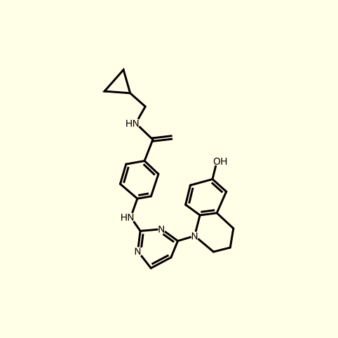 C=C(NCC1CC1)c1ccc(Nc2nccc(N3CCCc4cc(O)ccc43)n2)cc1